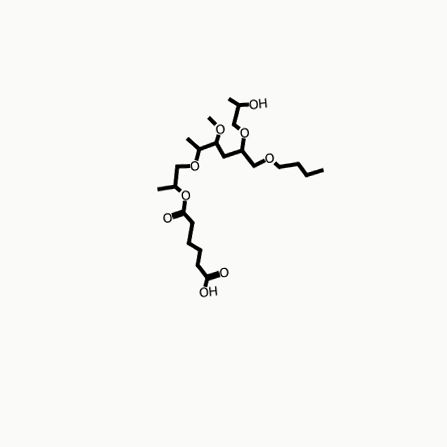 CCCCOCC(CC(OC)C(C)OCC(C)OC(=O)CCCCC(=O)O)OCC(C)O